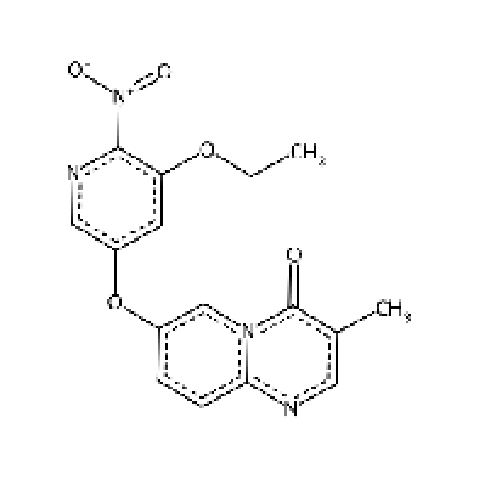 CCOc1cc(Oc2ccc3ncc(C)c(=O)n3c2)cnc1[N+](=O)[O-]